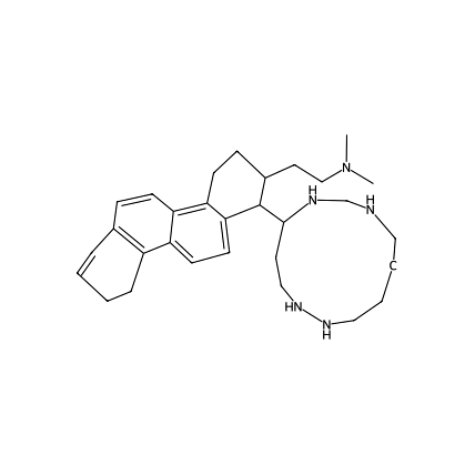 CN(C)CCC1CCc2c(ccc3c4c(ccc23)C=CCC4)C1C1CCNNCCCCNCN1